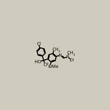 CCN(C)/C=N/c1cc(OC)c(C(O)(c2ccc(Cl)cc2)C(F)(F)F)cc1C